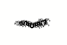 C=CC[C@H](C)C(C)CC(O)[C@H](O)[C@@H]1CCC2(C)OC3(C)CC4(C)OC5/C=C\CC6OC7CC8OC9CC%10(C)OC(C)(C)C(O)C[C@@H]%10O[C@]9(C)CC[C@]8(C)OC7(C)C[C@@H]6O[C@@H]5C[C@@H]4O[C@@H]3C[C@@H]2O1